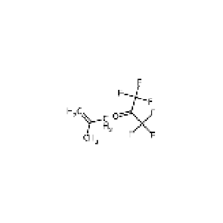 C=C(C)C.O=C(C(F)(F)F)C(F)(F)F